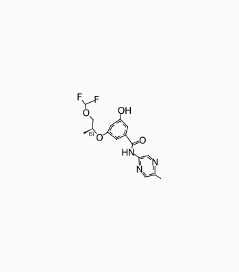 Cc1cnc(NC(=O)c2cc(O)cc(O[C@@H](C)COC(F)F)c2)cn1